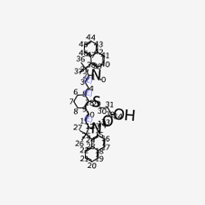 CN1/C(=C\C=C2/CCCC(/C=C/C3=[N+](C)c4ccc5ccccc5c4C3(C)C)=C2SCCC(=O)O)C(C)(C)c2c1ccc1ccccc21